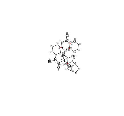 CCN(C(=O)N(CC)C1CC2CCC(C1)N2C(=O)[C@@H](Cc1ccc(Cl)cc1)NC1CCOCC1)C1CCCCC1